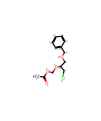 CC(=O)OCOC(CCl)COCc1ccccc1